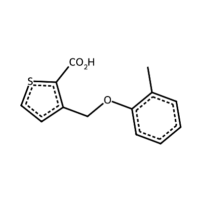 Cc1ccccc1OCc1ccsc1C(=O)O